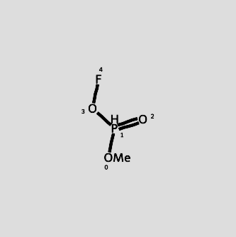 CO[PH](=O)OF